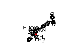 COC(=O)c1cc(S(=O)(=O)Nc2ncnc3cc(N4CCN(CC5=C(c6ccc(Cl)cc6)CCOC5)CC4)ccc23)cc(C(F)(F)F)c1NC(CCN(C)C)CSc1ccccc1